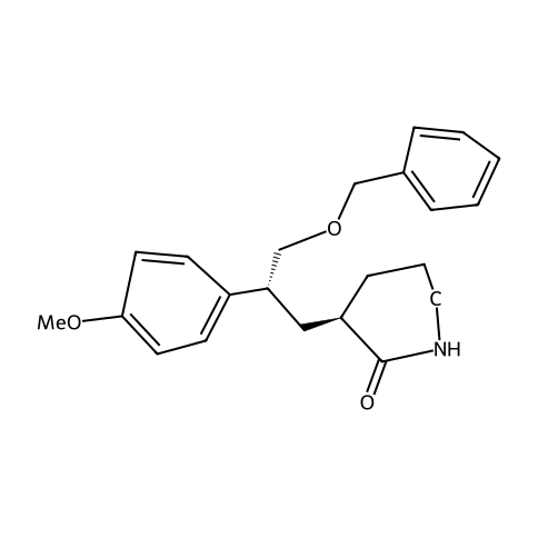 COc1ccc([C@H](COCc2ccccc2)C[C@H]2CCCNC2=O)cc1